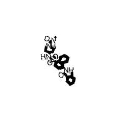 CNC(=O)N1CCC(NS(=O)(=O)c2ccc(NC(=O)c3ccccc3C)c3ccccc23)CC1